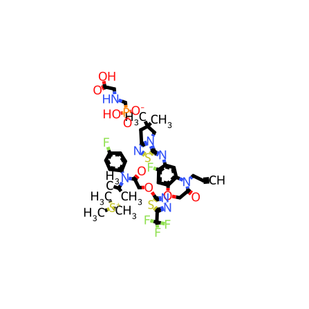 C#CCN1C(=O)COc2cc(F)c(/N=c3\snc4n3CC(C)(C)C4)cc21.CC(C)N(C(=O)COc1nnc(C(F)(F)F)s1)c1ccc(F)cc1.C[S+](C)C.O=C(O)CNCP(=O)([O-])O